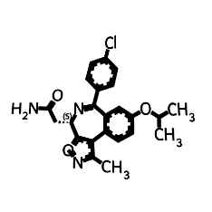 Cc1noc2c1-c1ccc(OC(C)C)cc1C(c1ccc(Cl)cc1)=N[C@H]2CC(N)=O